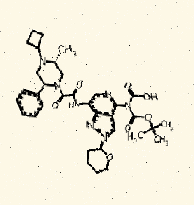 C[C@@H]1CN(C(=O)C(=O)Nc2cnc(N(C(=O)O)C(=O)OC(C)(C)C)c3cn(C4CCCCO4)nc23)[C@@H](c2ccccc2)CN1C1CCC1